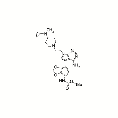 CN(C1CC1)C1CCN(CCn2nc(-c3ccc(NC(=O)OC(C)(C)C)c4c3OCO4)c3c(N)ncnc32)CC1